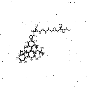 CCOC(=O)COCCCCCN(C)CCOc1cc(F)c([C@@H]2c3[nH]c4ccccc4c3C[C@@H](C)N2CC(C)(C)F)c(F)c1